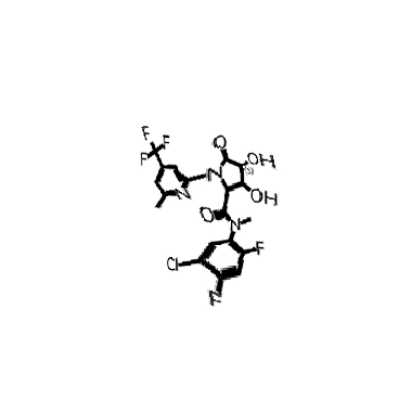 Cc1cc(C(F)(F)F)cc(N2C(=O)[C@@H](O)C(O)C2C(=O)N(C)c2cc(Cl)c(F)cc2F)n1